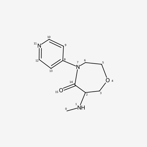 CNC1COCCN(c2ccncc2)C1=O